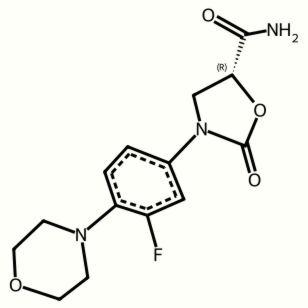 NC(=O)[C@H]1CN(c2ccc(N3CCOCC3)c(F)c2)C(=O)O1